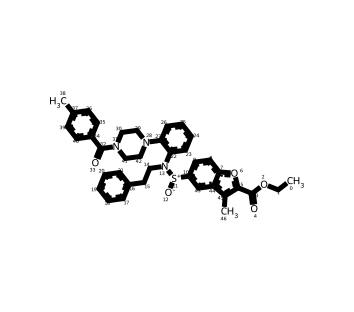 CCOC(=O)c1oc2ccc([S+]([O-])N(CCc3ccccc3)c3ccccc3N3CCN(C(=O)c4ccc(C)cc4)CC3)cc2c1C